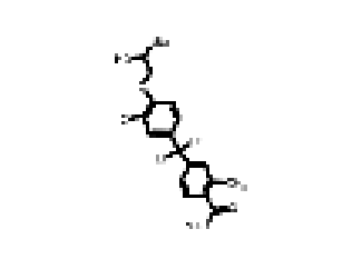 CCC(CC)(c1ccc(C(=O)OC)c(C)c1)c1ccc(OCC(O)C(C)(C)C)c(Cl)c1